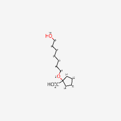 O=C(O)C1(OCCCCCCCO)CCCC1